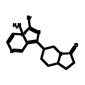 N[N+]12C=CN=CC1=C(C1CCC3CCC(=O)N3C1)N=C2Br